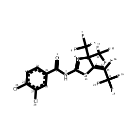 O=C(NC1=NC(C(F)(F)F)(C(F)(F)F)/C(=C(\F)C(F)(F)F)S1)c1ccc(Cl)c(Cl)c1